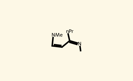 CCCC(/C=C\NC)=N/C